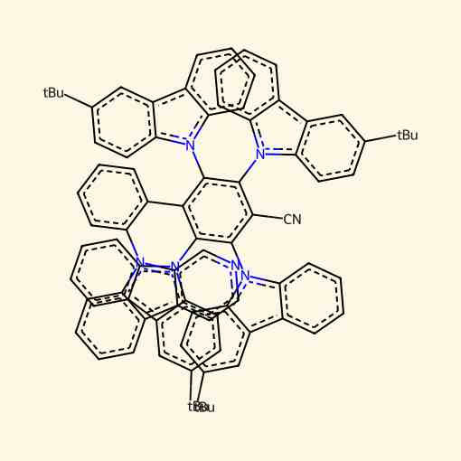 CC(C)(C)c1ccc2c(c1)c1ccccc1n2-c1c(C#N)c(-n2c3ccccc3c3cc(C(C)(C)C)ccc32)c(-n2c3ccccc3c3cc(C(C)(C)C)ccc32)c(-c2ccccc2-n2c3ccccc3c3ccncc32)c1-n1c2ccccc2c2cc(C(C)(C)C)ccc21